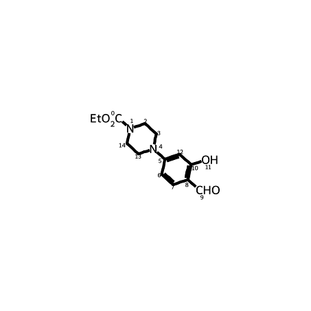 CCOC(=O)N1CCN(c2ccc(C=O)c(O)c2)CC1